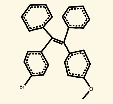 COc1ccc(C(=C(c2ccccc2)c2ccc(Br)cc2)c2ccccc2)cc1